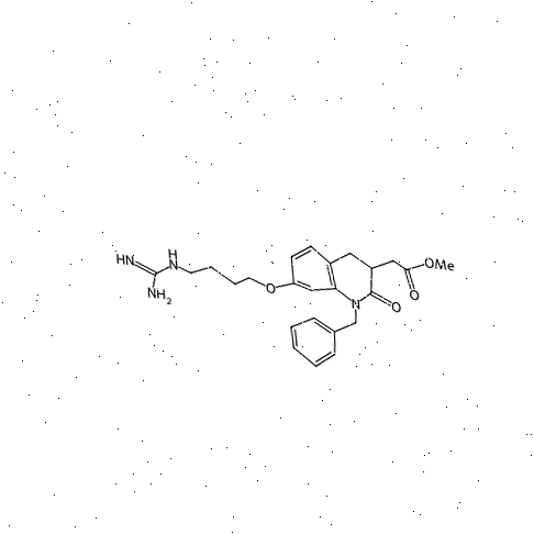 COC(=O)CC1Cc2ccc(OCCCCNC(=N)N)cc2N(Cc2ccccc2)C1=O